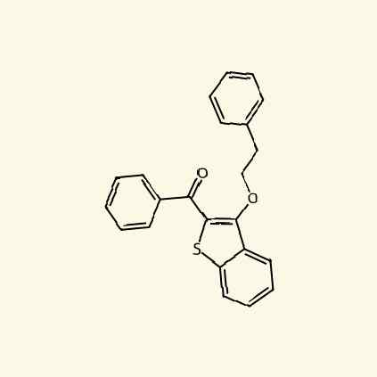 O=C(c1ccccc1)c1sc2ccccc2c1OCCc1ccccc1